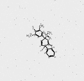 Cc1cc(C2(S(C)(=O)=O)C=CC(F)(c3ccccc3)C(F)=C2)cc(C)c1F